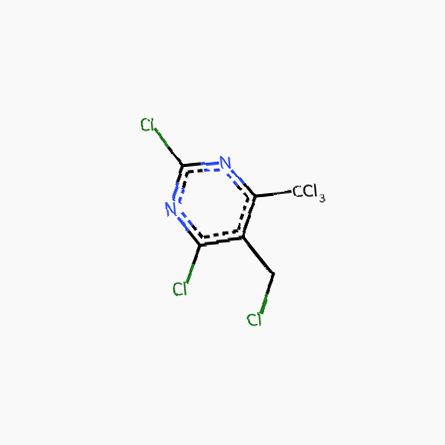 ClCc1c(Cl)nc(Cl)nc1C(Cl)(Cl)Cl